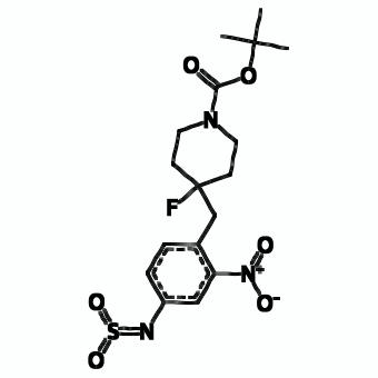 CC(C)(C)OC(=O)N1CCC(F)(Cc2ccc(N=S(=O)=O)cc2[N+](=O)[O-])CC1